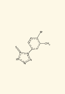 Cc1cc(-n2nn[nH]c2=S)ccc1Br